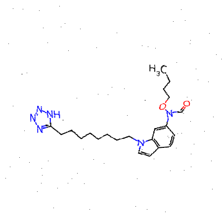 CCCCON(C=O)c1ccc2ccn(CCCCCCCCc3nnn[nH]3)c2c1